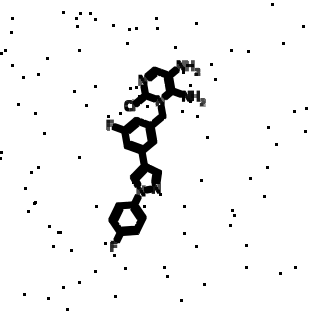 NC1=C(N)N(Cc2cc(F)cc(-c3cnn(-c4ccc(F)cc4)c3)c2)C(Cl)N=C1